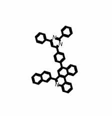 c1ccc(-c2cc(-c3ccc(-c4cc5c(-c6ccc7ccccc7c6)nc6ccccc6c5c5ccccc45)cc3)nc(-c3ccccc3)n2)cc1